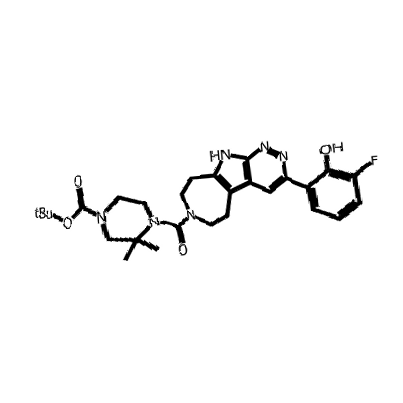 CC(C)(C)OC(=O)N1CCN(C(=O)N2CCc3[nH]c4nnc(-c5cccc(F)c5O)cc4c3CC2)C(C)(C)C1